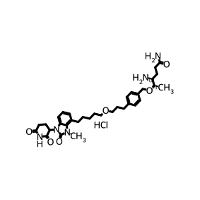 C[C@@H](OCc1ccc(CCCOCCCCCc2cccc3c2n(C)c(=O)n3C2CCC(=O)NC2=O)cc1)[C@@H](N)CCC(N)=O.Cl